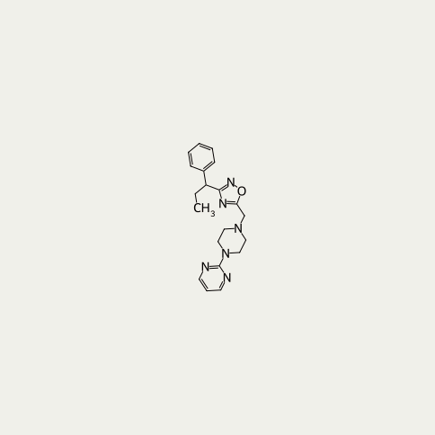 CCC(c1ccccc1)c1noc(CN2CCN(c3ncccn3)CC2)n1